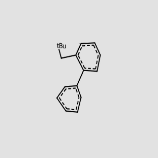 CC(C)(C)Cc1[c]cccc1-c1ccccc1